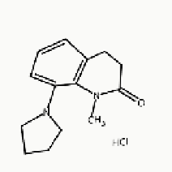 CN1C(=O)CCc2cccc(N3CCCC3)c21.Cl